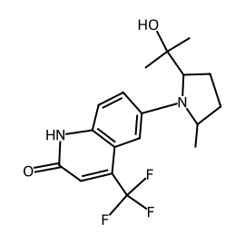 CC1CCC(C(C)(C)O)N1c1ccc2[nH]c(=O)cc(C(F)(F)F)c2c1